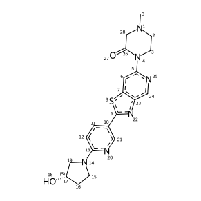 CN1CCN(c2cc3sc(-c4ccc(N5CC[C@H](O)C5)nc4)nc3cn2)C(=O)C1